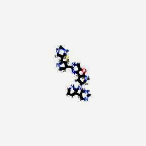 c1cnc2c(c1)c1cncnc1n2-c1cnc2oc3cnc(-c4ccnc5c4sc4ncncc45)nc3c2c1